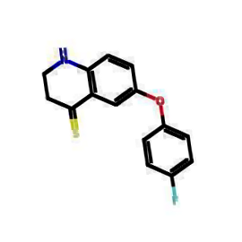 Fc1ccc(Oc2ccc3c(c2)C(=S)CCN3)cc1